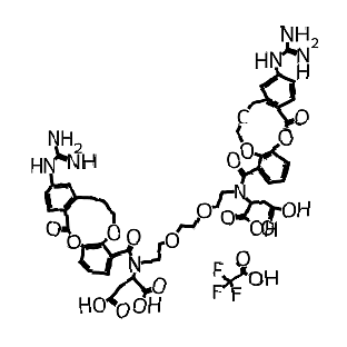 N=C(N)Nc1ccc2c(c1)CCCOc1c(cccc1C(=O)N(CCOCCOCCN(C(=O)c1cccc3c1OCCCc1cc(NC(=N)N)ccc1C(=O)O3)C(CC(=O)O)C(=O)O)C(CC(=O)O)C(=O)O)OC2=O.O=C(O)C(F)(F)F